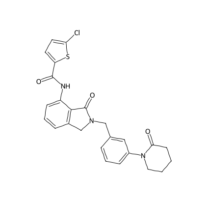 O=C(Nc1cccc2c1C(=O)N(Cc1cccc(N3CCCCC3=O)c1)C2)c1ccc(Cl)s1